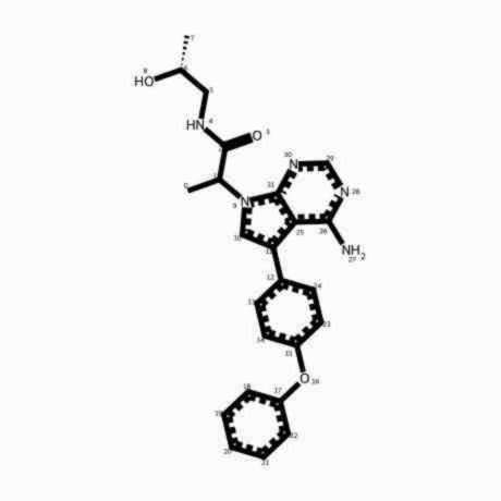 CC(C(=O)NC[C@@H](C)O)n1cc(-c2ccc(Oc3ccccc3)cc2)c2c(N)ncnc21